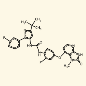 Cn1c(=O)[nH]c2nccc(Oc3ccc(NC(=O)Nc4cc(C(C)(C)C)nn4-c4cccc(F)c4)c(F)c3)c21